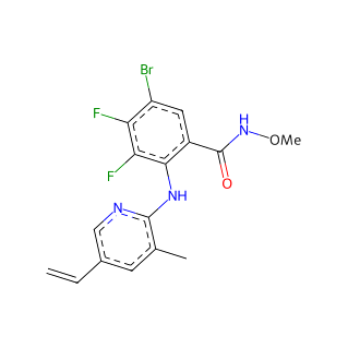 C=Cc1cnc(Nc2c(C(=O)NOC)cc(Br)c(F)c2F)c(C)c1